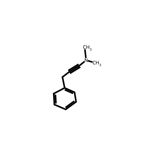 CN(C)C#CCc1ccccc1